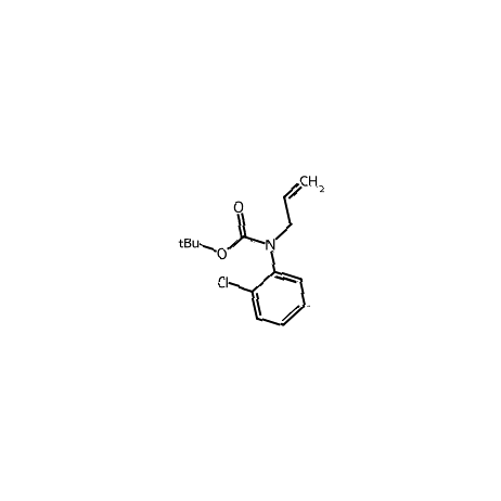 C=CCN(C(=O)OC(C)(C)C)c1c[c]ccc1Cl